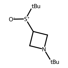 CC(C)(C)N1CC([S+]([O-])C(C)(C)C)C1